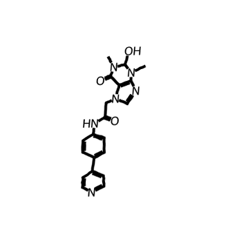 CN1C(=O)c2c(ncn2CC(=O)Nc2ccc(-c3ccncc3)cc2)N(C)C1O